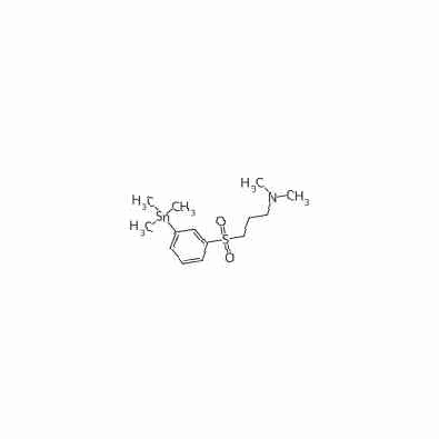 CN(C)CCCS(=O)(=O)c1ccc[c]([Sn]([CH3])([CH3])[CH3])c1